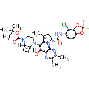 Cc1nc2c(=O)c(N3CCN(C(=O)OC(C)(C)C)[C@H]4CC[C@@H]43)c3n(c2nc1C)[C@@H](C(=O)Nc1ccc2c(c1Cl)OC(F)(F)O2)C[C@@H]3C